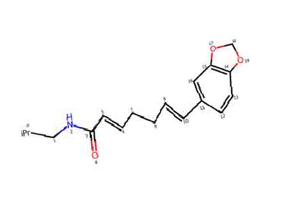 CC(C)CNC(=O)C=CCCC=Cc1ccc2c(c1)OCO2